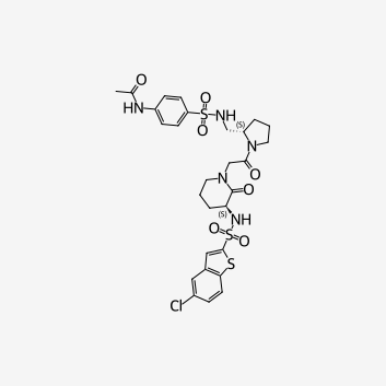 CC(=O)Nc1ccc(S(=O)(=O)NC[C@@H]2CCCN2C(=O)CN2CCC[C@H](NS(=O)(=O)c3cc4cc(Cl)ccc4s3)C2=O)cc1